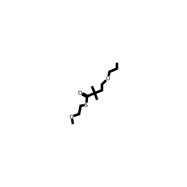 CCCOCCC(C)(C)C(=O)SCCOC